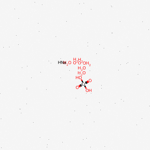 O.O.O.O.O.O.[NaH].[O]=[Cr](=[O])([OH])[OH]